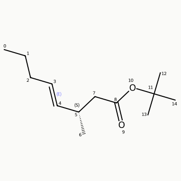 CCC/C=C/[C@@H](C)CC(=O)OC(C)(C)C